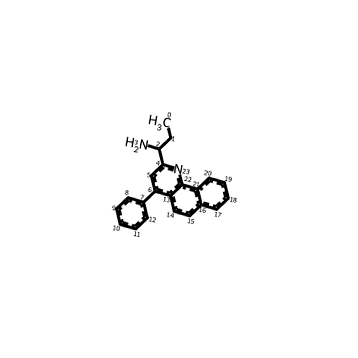 CCC(N)c1cc(-c2ccccc2)c2ccc3ccccc3c2n1